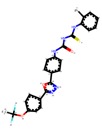 CC(C)c1ccccc1NC(=S)NC(=O)Nc1ccc(-c2nnc(-c3ccc(OC(F)(F)C(F)(F)F)cc3)o2)cc1